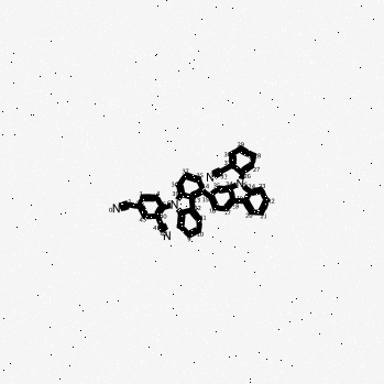 N#Cc1ccc(-n2c3ccccc3c3c(-c4ccc5c6ccccc6n(-c6ccccc6C#N)c5c4)cccc32)c(C#N)c1